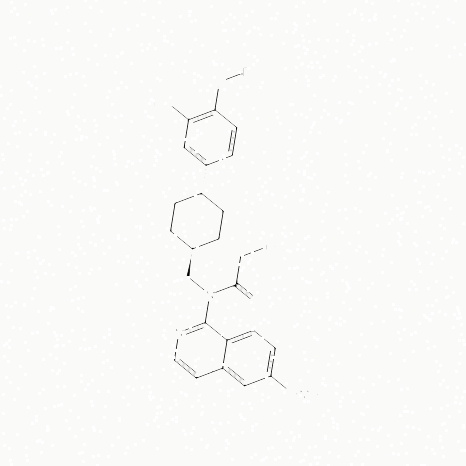 CCOc1ccc([C@H]2CC[C@H](CN(C(=O)CC(C)(C)C)c3nccc4cc(OC)ccc34)CC2)cc1C